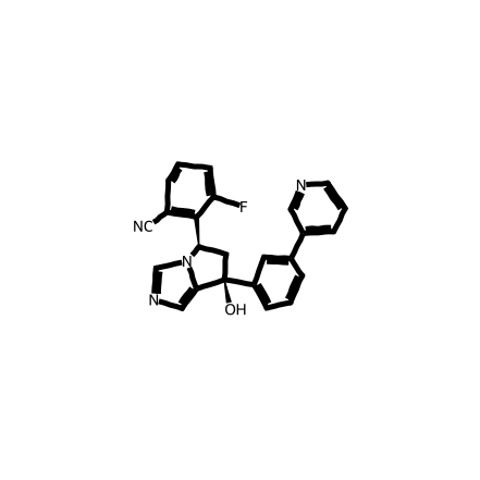 N#Cc1cccc(F)c1[C@H]1C[C@](O)(c2cccc(-c3cccnc3)c2)c2cncn21